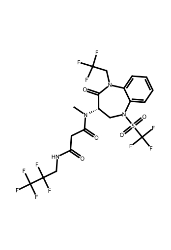 CN(C(=O)CC(=O)NCC(F)(F)C(F)(F)F)[C@H]1CN(S(=O)(=O)C(F)(F)F)c2ccccc2N(CC(F)(F)F)C1=O